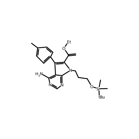 C=C(OCC)c1c(-c2ccc(C)cc2)c2c(N)ncnc2n1CCCO[Si](C)(C)C(C)(C)C